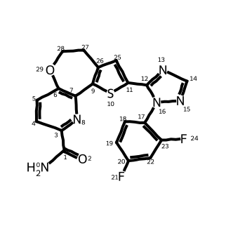 NC(=O)c1ccc2c(n1)-c1sc(-c3ncnn3-c3ccc(F)cc3F)cc1CCO2